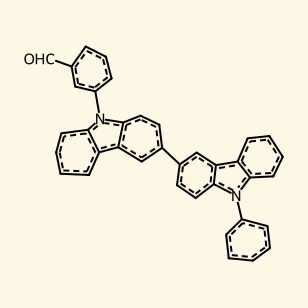 O=Cc1cccc(-n2c3ccccc3c3cc(-c4ccc5c(c4)c4ccccc4n5-c4ccccc4)ccc32)c1